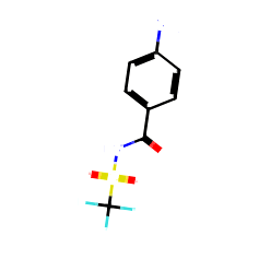 Nc1ccc(C(=O)NS(=O)(=O)C(F)(F)F)cc1